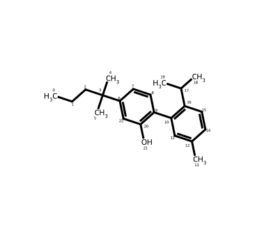 CCCC(C)(C)c1ccc(-c2cc(C)ccc2C(C)C)c(O)c1